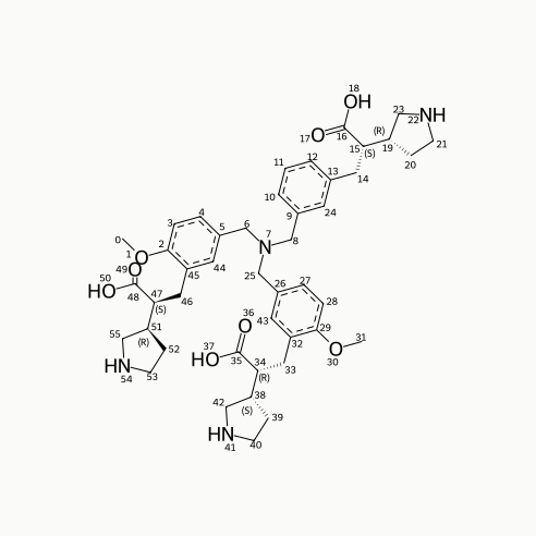 COc1ccc(CN(Cc2cccc(C[C@H](C(=O)O)[C@H]3CCNC3)c2)Cc2ccc(OC)c(C[C@@H](C(=O)O)[C@@H]3CCNC3)c2)cc1C[C@H](C(=O)O)[C@H]1CCNC1